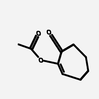 CC(=O)OC1=CCCCCC1=O